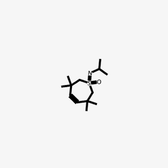 CC(C)N=S1(=O)CC(C)(C)C#CC(C)(C)C1